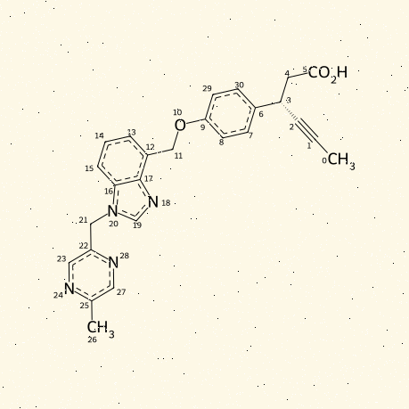 CC#C[C@@H](CC(=O)O)c1ccc(OCc2cccc3c2ncn3Cc2cnc(C)cn2)cc1